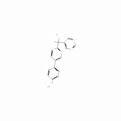 CCOC(C)(c1cncnc1)c1ccc(-c2ccc(OC(F)(F)F)cc2)cn1